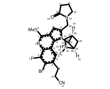 CSc1nc2c(F)c(Br)c(CCC#N)cc2c2c1cc(CN1CCCC1=O)n2[C@H]1[C@@H]2C[C@H]1N(C(=O)O)C2